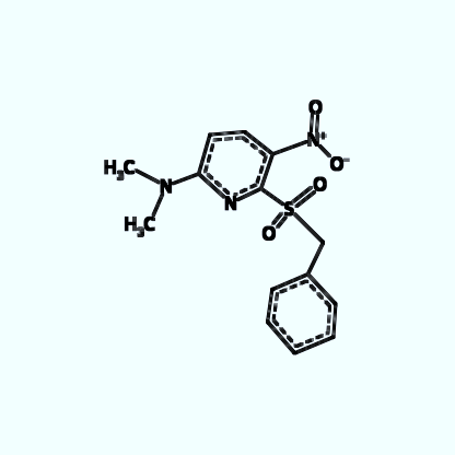 CN(C)c1ccc([N+](=O)[O-])c(S(=O)(=O)Cc2ccccc2)n1